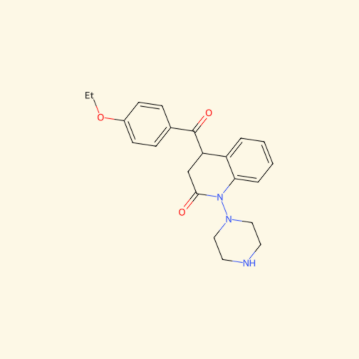 CCOc1ccc(C(=O)C2CC(=O)N(N3CCNCC3)c3ccccc32)cc1